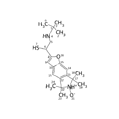 CC(C)(C)NCC(S)c1cc2cc3c(cc2o1)C(C)(C)[NH+]([O-])C3(C)C